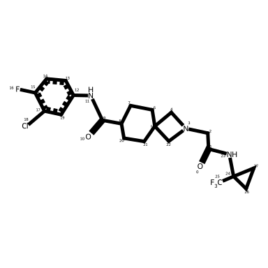 O=C(CN1CC2(CCC(C(=O)Nc3ccc(F)c(Cl)c3)CC2)C1)NC1(C(F)(F)F)CC1